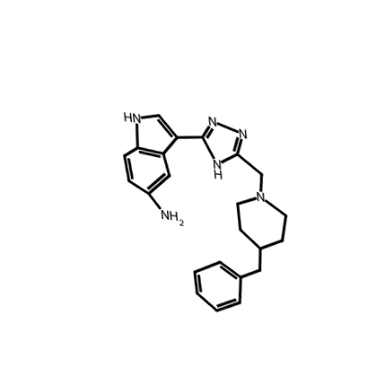 Nc1ccc2[nH]cc(-c3nnc(CN4CCC(Cc5ccccc5)CC4)[nH]3)c2c1